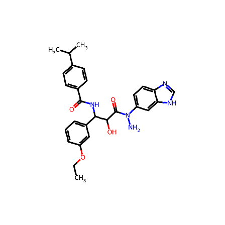 CCOc1cccc(C(NC(=O)c2ccc(C(C)C)cc2)C(O)C(=O)N(N)c2ccc3nc[nH]c3c2)c1